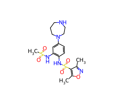 Cc1noc(C)c1S(=O)(=O)Nc1ccc(N2CCCNCC2)cc1NS(C)(=O)=O